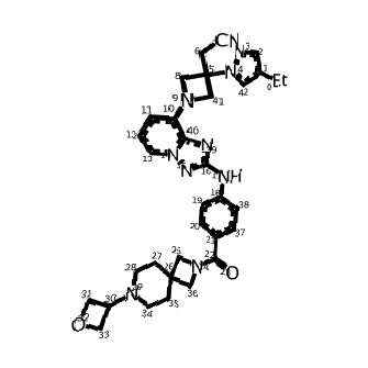 CCc1cnn(C2(CC#N)CN(c3cccn4nc(Nc5ccc(C(=O)N6CC7(CCN(C8COC8)CC7)C6)cc5)nc34)C2)c1